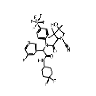 CC1(O)CN(C#N)C(C(=O)N(c2ccc(S(F)(F)(F)(F)F)cc2)C(C(=O)NC2CCC(F)(F)CC2)c2cncc(F)c2)C1(C)C